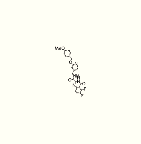 COc1ccc(COc2cc(CNC(=O)c3nc4ccc(F)c(F)c4c(=O)[nH]3)ccn2)cc1